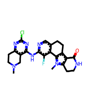 CN1CCc2nc(Cl)nc(Nc3ncc4c(c3F)-c3c(c5c(n3C)CCNC5=O)CC4)c2C1